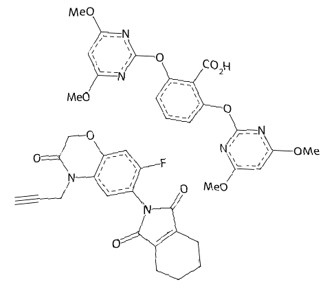 C#CCN1C(=O)COc2cc(F)c(N3C(=O)C4=C(CCCC4)C3=O)cc21.COc1cc(OC)nc(Oc2cccc(Oc3nc(OC)cc(OC)n3)c2C(=O)O)n1